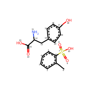 Cc1ccccc1S(=O)(=O)O.NC(Cc1ccc(O)cc1)C(=O)O